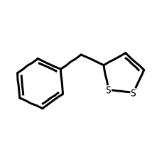 C1=CC(Cc2ccccc2)SS1